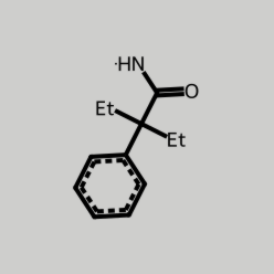 CCC(CC)(C([NH])=O)c1ccccc1